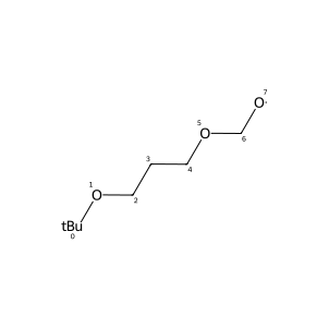 CC(C)(C)OCCCOC[O]